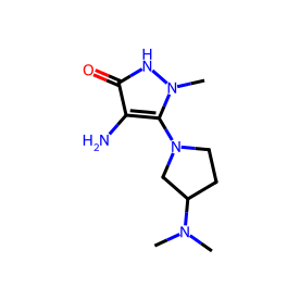 CN(C)C1CCN(c2c(N)c(=O)[nH]n2C)C1